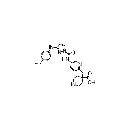 CCc1ccc(Nc2ccn(C(=O)Nc3ccc(CC4(C(=O)O)CCNCC4)nc3)n2)cc1